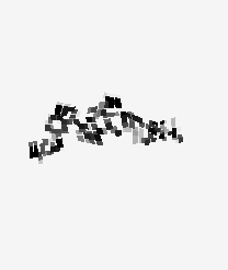 COc1ccc2nccc(C(O)CC[C@@H]3CCN(CCSC(C)(C)C)C[C@@H]3C(=O)O)c2c1